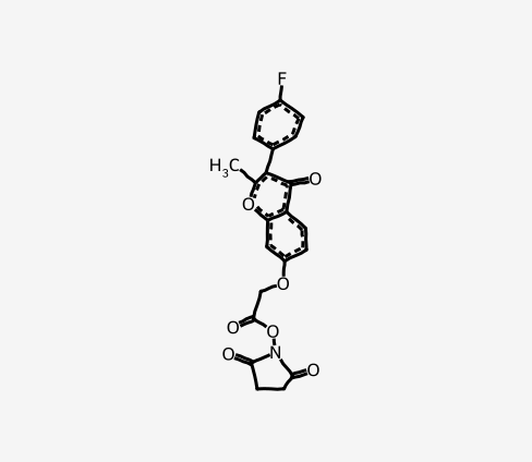 Cc1oc2cc(OCC(=O)ON3C(=O)CCC3=O)ccc2c(=O)c1-c1ccc(F)cc1